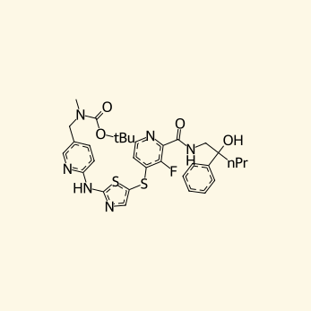 CCCC(O)(CNC(=O)c1nccc(Sc2cnc(Nc3ccc(CN(C)C(=O)OC(C)(C)C)cn3)s2)c1F)c1ccccc1